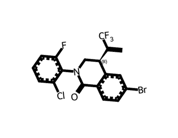 C=C([C@@H]1CN(c2c(F)cccc2Cl)C(=O)c2ccc(Br)cc21)C(F)(F)F